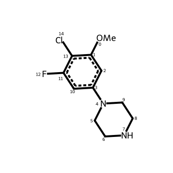 COc1cc(N2CCNCC2)cc(F)c1Cl